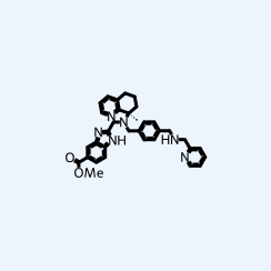 COC(=O)c1ccc2[nH]c(CN(Cc3ccc(CNCc4ccccn4)cc3)[C@]3(C)CCCc4cccnc43)nc2c1